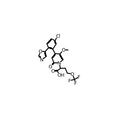 COc1cn(C(CCOC(F)(F)F)C(=O)O)c(=O)cc1-c1cc(Cl)ccc1-c1cnco1